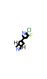 Fc1cc(C2=C[C@H]3C=NC[C@H]3C2)cnc1Cl